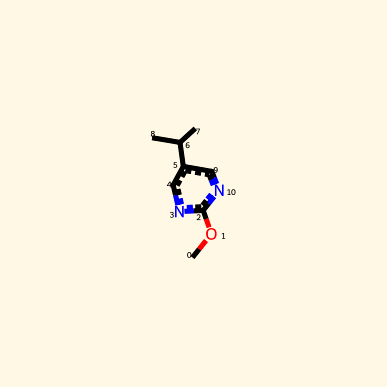 COc1ncc(C(C)C)cn1